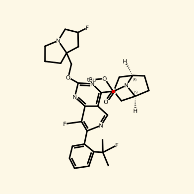 CC(C)(C)OC(=O)N1[C@@H]2CC[C@H]1CN(c1nc(OCC34CCCN3CC(F)C4)nc3c(F)c(-c4ccccc4C(C)(C)F)ncc13)C2